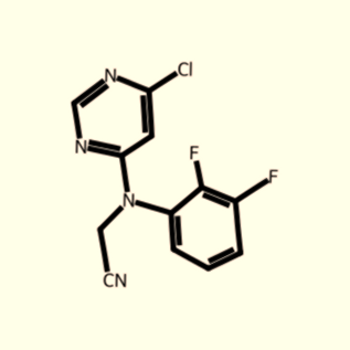 N#CCN(c1cc(Cl)ncn1)c1cccc(F)c1F